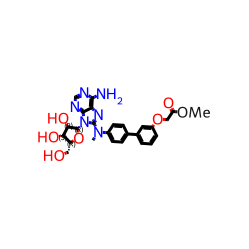 COC(=O)COc1cccc(-c2ccc(N(C)c3nc4c(N)ncnc4n3[C@@H]3O[C@H](CO)[C@@H](O)[C@H]3O)cc2)c1